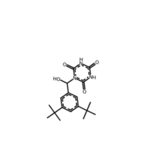 CC(C)(C)c1cc(C(O)n2c(=O)[nH]c(=O)[nH]c2=O)cc(C(C)(C)C)c1